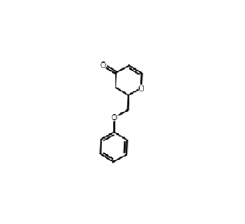 O=C1C=COC(COc2ccccc2)C1